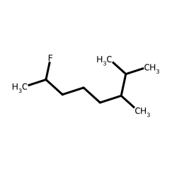 CC(F)CCCC(C)C(C)C